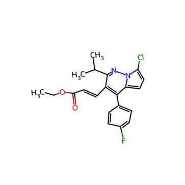 CCOC(=O)C=Cc1c(C(C)C)nn2c(Cl)ccc2c1-c1ccc(F)cc1